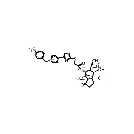 C=C[C@]1(C)C[C@@H](OC(=O)CSc2nc(-c3cc[n+](Cc4ccc(C(F)(F)F)cc4)cc3)cs2)[C@]2(C)[C@H](C)CCC3(CCC(=O)[C@H]32)[C@@H](C)[C@@H]1O